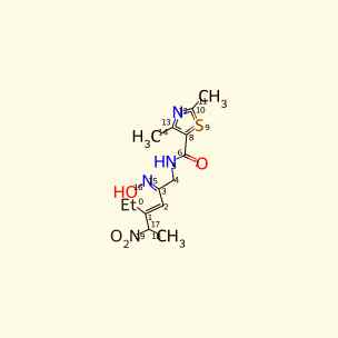 CCC(=CC(CNC(=O)c1sc(C)nc1C)=NO)C(C)[N+](=O)[O-]